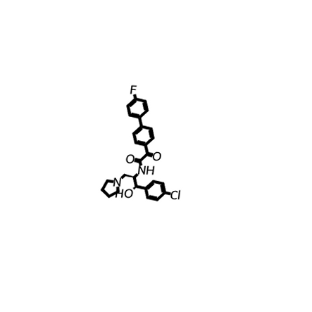 O=C(N[C@H](CN1CCCC1)[C@H](O)c1ccc(Cl)cc1)C(=O)c1ccc(-c2ccc(F)cc2)cc1